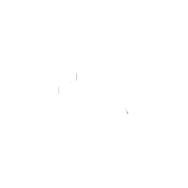 C[C@H]1C=C(CC(C)(F)F)CCC1